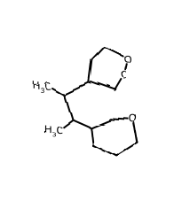 CC(C1CCOCC1)C(C)C1CCCOC1